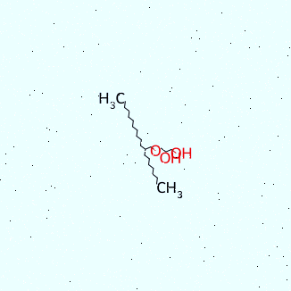 CCCCCCCCCCCC(CCCCCCCC)COCC(O)CO